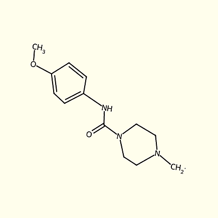 [CH2]N1CCN(C(=O)Nc2ccc(OC)cc2)CC1